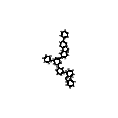 c1ccc(-c2ccc3c(c2)oc2ccc(-c4nc(-c5ccccc5)nc(-c5cccc(-c6cccc7c6sc6ccccc67)c5)n4)cc23)cc1